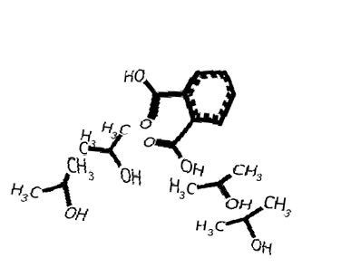 CC(C)O.CC(C)O.CC(C)O.CC(C)O.O=C(O)c1ccccc1C(=O)O